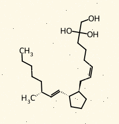 CCCCC[C@@H](C)/C=C/[C@H]1CCC[C@@H]1C/C=C\CCCC(O)(O)CO